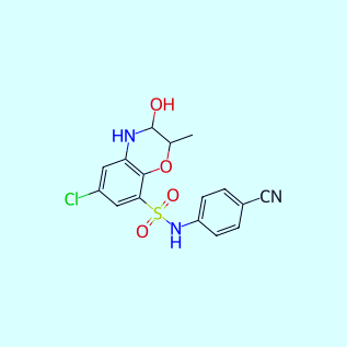 CC1Oc2c(cc(Cl)cc2S(=O)(=O)Nc2ccc(C#N)cc2)NC1O